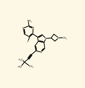 CN1CC(n2cc(-c3nc(N)ncc3F)c3cc(C#CC(C)(C)O)ncc32)C1